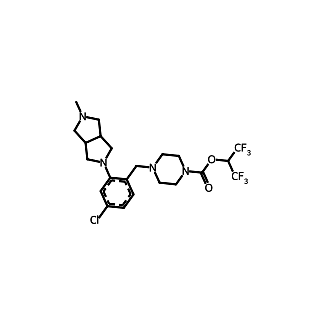 CN1CC2CN(c3cc(Cl)ccc3CN3CCN(C(=O)OC(C(F)(F)F)C(F)(F)F)CC3)CC2C1